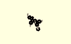 CC1(C)c2cc(F)ccc2-c2c1c1c(c3cc(F)ccc23)OC(C2=CC=C(F)CC2)(c2ccc(N3CCCCC3)cc2)C=C1